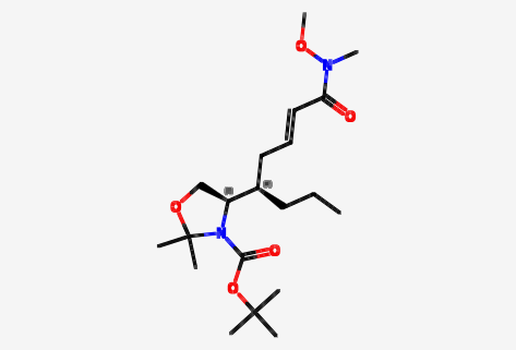 CCC[C@H](CC=CC(=O)N(C)OC)[C@@H]1COC(C)(C)N1C(=O)OC(C)(C)C